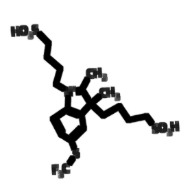 CC1=[N+](CCCCS(=O)(=O)O)c2ccc(SC(F)(F)F)cc2C1(C)CCCCS(=O)(=O)O